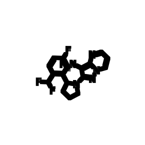 Nc1c(N2CCCC2c2cc(F)ccc2C(F)F)nn2cccnc12